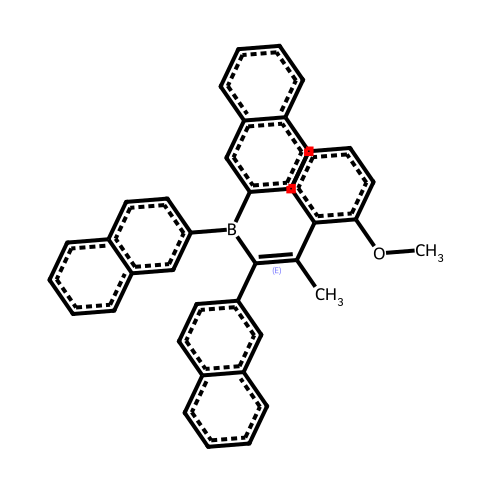 COc1ccccc1/C(C)=C(\B(c1ccc2ccccc2c1)c1ccc2ccccc2c1)c1ccc2ccccc2c1